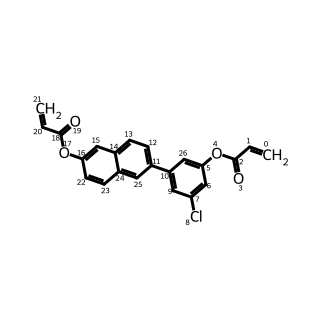 C=CC(=O)Oc1cc(Cl)cc(-c2ccc3cc(OC(=O)C=C)ccc3c2)c1